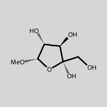 CO[C@H]1O[C@](O)(CO)[C@H](O)[C@H]1O